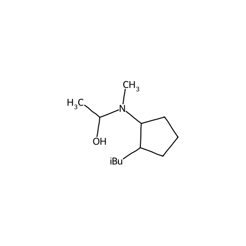 CCC(C)C1CCCC1N(C)C(C)O